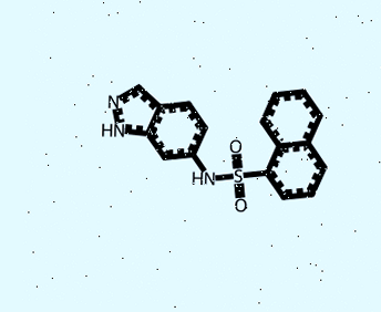 O=S(=O)(Nc1ccc2cn[nH]c2c1)c1cccc2ccccc12